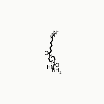 [N-]=[N+]=NCCCCCC(=O)N1CCN(C(=O)NN)CC1